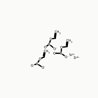 C=COB([O-])[O-].C=COB([O-])[O-].C=COB([O-])[O-].[Sr+2].[Zr+4]